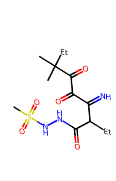 CCC(C(=N)C(=O)C(=O)C(C)(C)CC)C(=O)NNS(C)(=O)=O